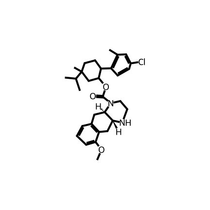 COc1cccc2c1C[C@H]1NCCN(C(=O)OC3CC(C)(C(C)C)CCC3c3ccc(Cl)cc3C)[C@@H]1C2